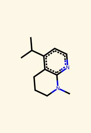 CC(C)c1ccnc2c1CCCN2C